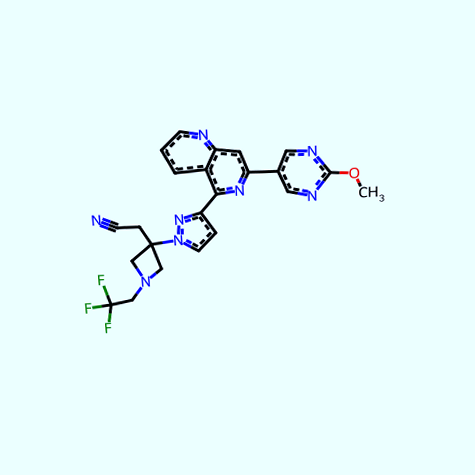 COc1ncc(-c2cc3ncccc3c(-c3ccn(C4(CC#N)CN(CC(F)(F)F)C4)n3)n2)cn1